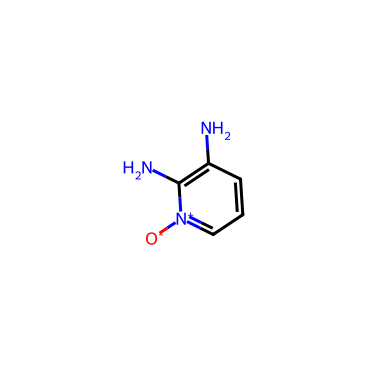 Nc1ccc[n+]([O-])c1N